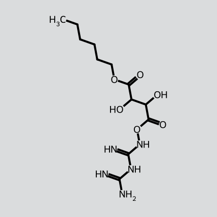 CCCCCCOC(=O)C(O)C(O)C(=O)ONC(=N)NC(=N)N